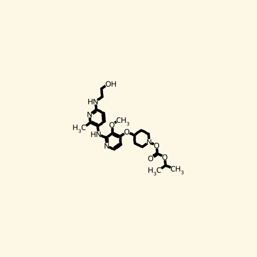 COc1c(OC2CCN(OC(=O)OC(C)C)CC2)ccnc1Nc1ccc(NCCO)nc1C